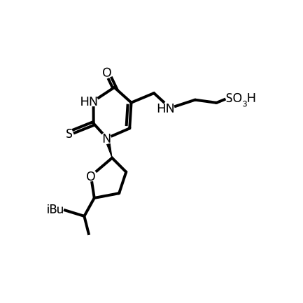 CCC(C)C(C)C1CC[C@H](n2cc(CNCCS(=O)(=O)O)c(=O)[nH]c2=S)O1